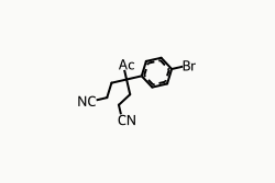 CC(=O)C(CCC#N)(CCC#N)c1ccc(Br)cc1